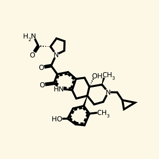 Cc1ccc(O)cc1[C@]12CCN(CC3CC3)[C@H](C)[C@]1(O)Cc1cc(C(=O)N3CCC[C@H]3C(N)=O)c(=O)[nH]c1C2